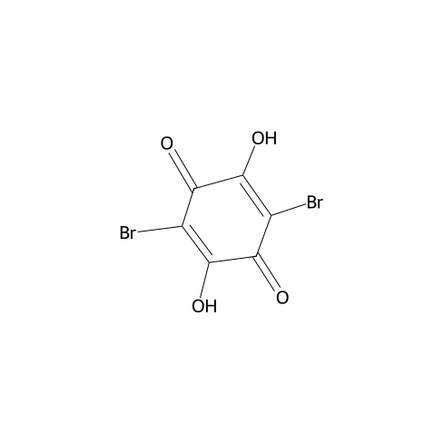 O=C1C(O)=C(Br)C(=O)C(O)=C1Br